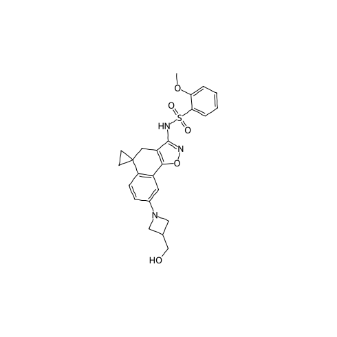 COc1ccccc1S(=O)(=O)Nc1noc2c1CC1(CC1)c1ccc(N3CC(CO)C3)cc1-2